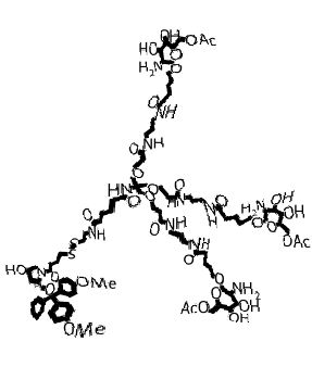 COc1ccc(C(OC[C@@H]2C[C@@H](O)CN2C(=O)CCCSSCCNC(=O)CCCCC(=O)NC(COCCC(=O)NCCCNC(=O)CCCCOC2OC(COC(C)=O)C(O)C(O)C2N)(COCCC(=O)NCCCNC(=O)CCCCOC2OC(COC(C)=O)C(O)C(O)C2N)COCCC(=O)NCCCNC(=O)CCCCOC2OC(COC(C)=O)C(O)C(O)[C@@H]2N)(c2ccccc2)c2ccc(OC)cc2)cc1